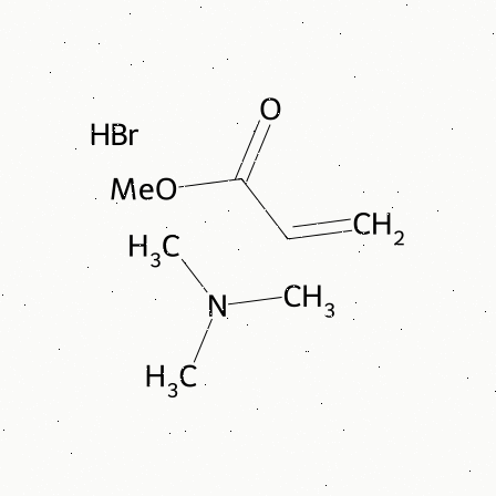 Br.C=CC(=O)OC.CN(C)C